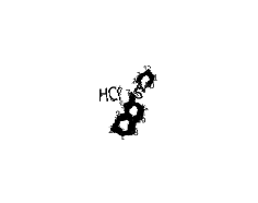 Cl.c1ccc2cc(CSN3CCCCC3)ccc2c1